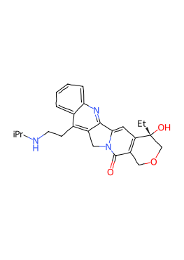 CC[C@@]1(O)COCc2c1cc1n(c2=O)Cc2c-1nc1ccccc1c2CCNC(C)C